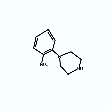 O=[N+]([O-])c1ccc[c]c1N1CCNCC1